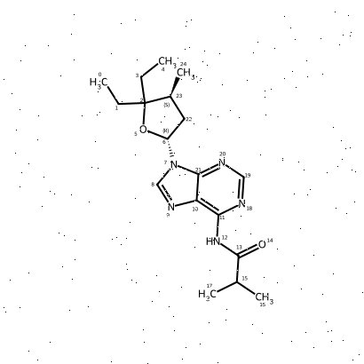 CCC1(CC)O[C@@H](n2cnc3c(NC(=O)C(C)C)ncnc32)C[C@@H]1C